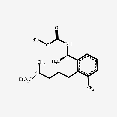 CCOC(=O)[C@H](C)CCCc1c([C@@H](C)NC(=O)OC(C)(C)C)cccc1C(F)(F)F